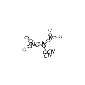 N#Cc1ccc(-c2cc(-c3ccc(-n4c5ccc(-c6ccccc6)cc5c5cc(-c6ccccc6)ccc54)cc3)nc(-c3ccc(-n4c5ccc(-c6ccccc6)cc5c5cc(-c6ccccc6)ccc54)cc3)c2)cc1C#N